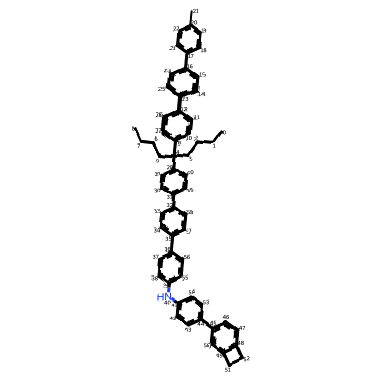 CCCCC(CCCC)(c1ccc(-c2ccc(-c3ccc(C)cc3)cc2)cc1)c1ccc(-c2ccc(-c3ccc(Nc4ccc(-c5ccc6c(c5)CC6)cc4)cc3)cc2)cc1